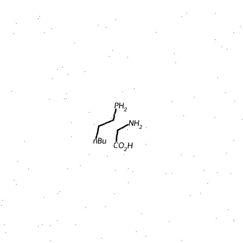 CCCCCCP.NCC(=O)O